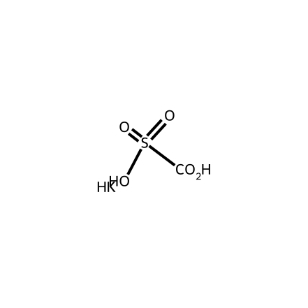 O=C(O)S(=O)(=O)O.[KH]